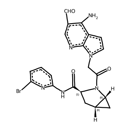 Nc1c(C=O)cnc2c1ccn2CC(=O)N1[C@@H]2C[C@@H]2C[C@H]1C(=O)Nc1cccc(Br)n1